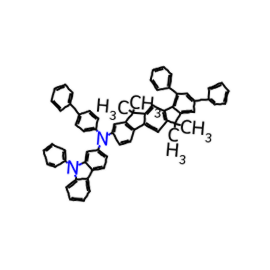 CC1(C)c2cc(N(c3ccc(-c4ccccc4)cc3)c3ccc4c5ccccc5n(-c5ccccc5)c4c3)ccc2-c2cc3c(cc21)-c1c(-c2ccccc2)cc(-c2ccccc2)cc1C3(C)C